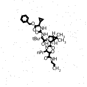 C=CCNC(=O)C(=O)C(CCC)NC(=O)[C@@H]1[C@@H]2[C@H](CN1C(=O)[C@@H](NC(=O)N[C@H](C(=O)OCc1ccccc1)C1CC1)C(C)(C)C)C2(C)C